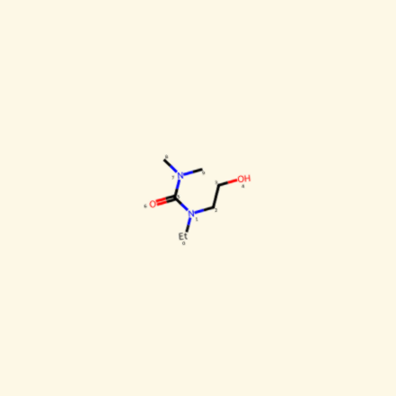 CCN(CCO)C(=O)N(C)C